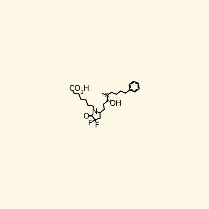 C[C@@H](CCCCc1ccccc1)[C@H](O)CCC1CC(F)(F)C(=O)N1CCCCCCC(=O)O